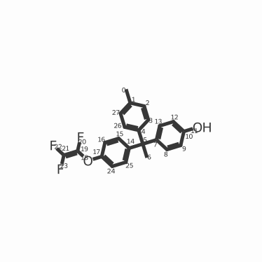 Cc1ccc(C(C)(c2ccc(O)cc2)c2ccc(OC(F)=C(F)F)cc2)cc1